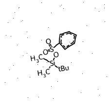 CC(C)(C)[Si](C)(C)OS(=O)(=O)c1ccccc1